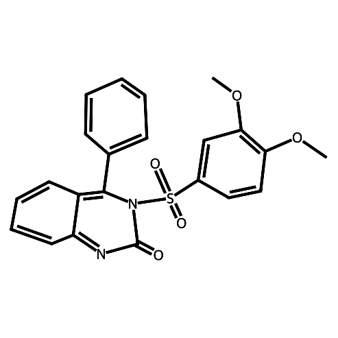 COc1ccc(S(=O)(=O)n2c(-c3ccccc3)c3ccccc3nc2=O)cc1OC